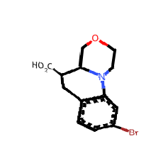 O=C(O)C1Cc2ccc(Br)cc2N2CCOCC12